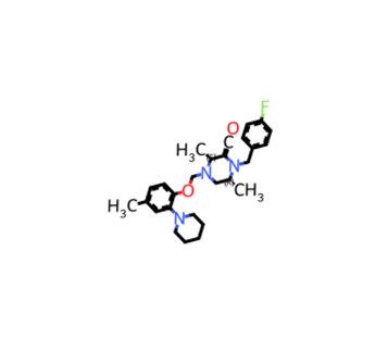 Cc1ccc(OCN2C[C@@H](C)N(Cc3ccc(F)cc3)C(=C=O)[C@@H]2C)c(N2CCCCC2)c1